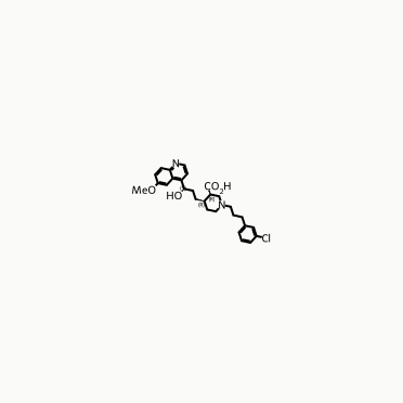 COc1ccc2nccc([C@@H](O)CC[C@@H]3CCN(CCCc4cccc(Cl)c4)C[C@@H]3C(=O)O)c2c1